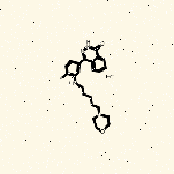 Cl.O=c1[nH]nc(-c2ccc(F)c(NCCCCCN3CCOCC3)c2)c2ccccc12